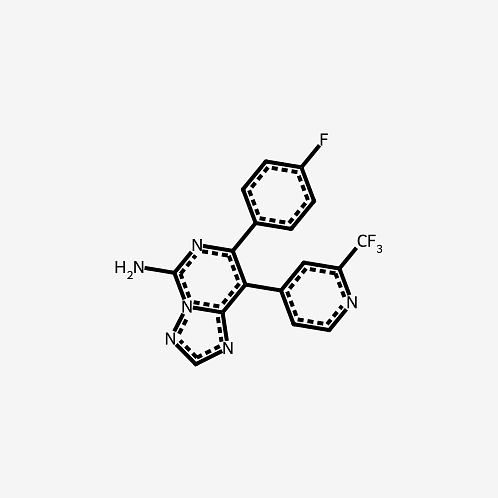 Nc1nc(-c2ccc(F)cc2)c(-c2ccnc(C(F)(F)F)c2)c2ncnn12